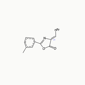 CCC/C=C1\N=C(c2cccc(C)c2)OC1=O